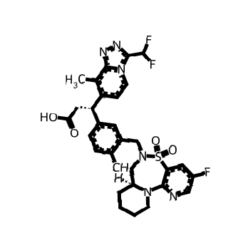 Cc1ccc([C@H](CC(=O)O)c2ccn3c(C(F)F)nnc3c2C)cc1CN1C[C@@H]2CCCCN2c2ncc(F)cc2S1(=O)=O